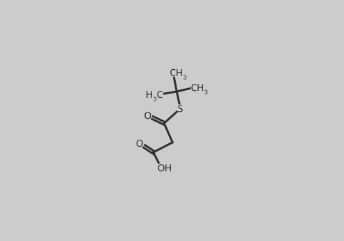 CC(C)(C)SC(=O)CC(=O)O